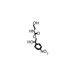 O=C(NCCO)OCC(O)c1ccc([N+](=O)[O-])cc1